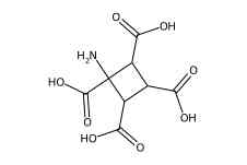 NC1(C(=O)O)C(C(=O)O)C(C(=O)O)C1C(=O)O